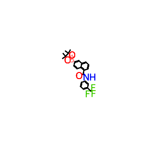 CC1(C)OB(c2ccc3c(C(=O)Nc4cccc(C(F)(F)F)c4)cccc3c2)OC1(C)C